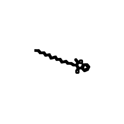 CCCCCCCCCCCCCCCC(C(C)=O)C(=O)c1ccccc1